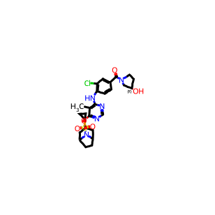 Cc1c(Nc2ccc(C(=O)N3CC[C@@H](O)C3)cc2Cl)ncnc1OC1CC2CCC(C1)N2S(=O)(=O)C1CC1